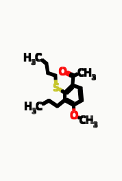 CCCCSc1c(C(C)=O)ccc(OC)c1CCC